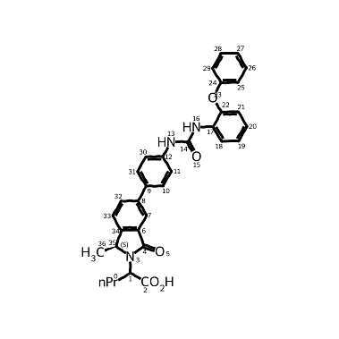 CCCC(C(=O)O)N1C(=O)c2cc(-c3ccc(NC(=O)Nc4ccccc4Oc4ccccc4)cc3)ccc2[C@@H]1C